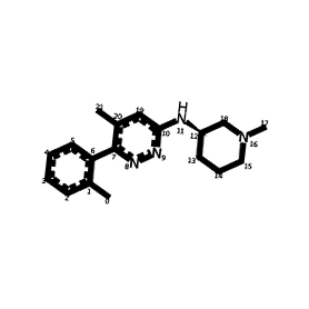 Cc1ccccc1-c1nnc(N[C@@H]2CCCN(C)C2)cc1C